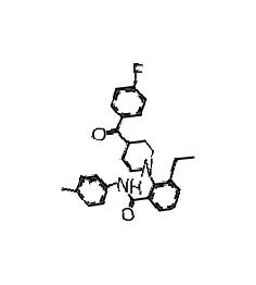 CCc1cccc(C(=O)Nc2ccc(C)cc2)c1N1CCC(C(=O)c2ccc(F)cc2)CC1